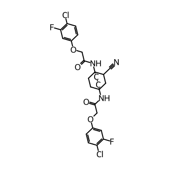 N#CC1CC2(NC(=O)COc3ccc(Cl)c(F)c3)CCC1(NC(=O)COc1ccc(Cl)c(F)c1)CC2